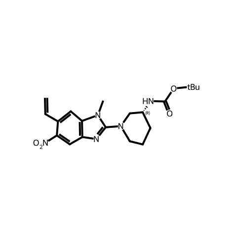 C=Cc1cc2c(cc1[N+](=O)[O-])nc(N1CCC[C@@H](NC(=O)OC(C)(C)C)C1)n2C